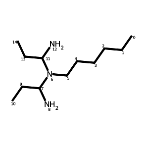 CCCCCCN(C(N)CC)C(N)CC